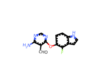 Nc1ncnc(Oc2ccc3[nH]ccc3c2F)c1C=O